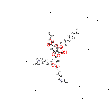 CC/C=C\CCCCOC(CCC(=O)OC(CCC(=O)OCCC)C(CO)C(=O)OCCCCCCCCC)OCCCC/C=C\CC